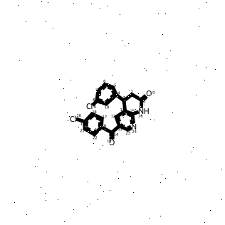 O=C1CC(c2cccc(Cl)c2)c2cc(C(=O)c3ccc(Cl)cc3)cnc2N1